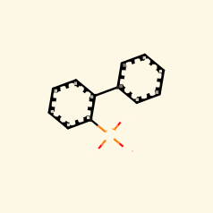 O[PH](O)(O)c1ccccc1-c1ccccc1